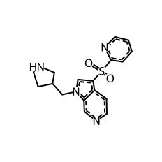 O=S(=O)(c1ccccn1)c1cn(CC2CCNC2)c2cnccc12